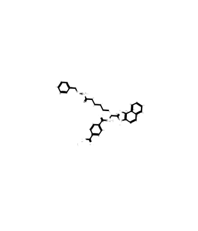 COC(=O)c1ccc(C(=O)N[C@@H](CCCCCC(=O)NOCc2ccccc2)c2nc3c(ccc4ccccc43)[nH]2)cc1